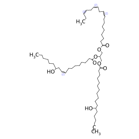 CC/C=C\C/C=C\C/C=C\CCCCCCCC(=O)OCC(COC(=O)CCCCCCCCCCC(O)CCCCCC)OC(=O)CCCCCCC/C=C\CC(O)CCCCCC